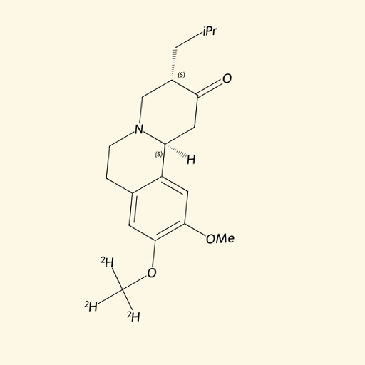 [2H]C([2H])([2H])Oc1cc2c(cc1OC)[C@@H]1CC(=O)[C@@H](CC(C)C)CN1CC2